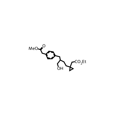 CCOC(=O)CC1(CCC(CO)Cc2ccc(CC(=O)OC)cc2)CC1